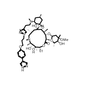 CC[C@H]1OC(=O)[C@H](C)[C@@H](O[C@H]2C[C@@](C)(OC)[C@@H](O)[C@H](C)O2)[C@H](C)[C@@H](O[C@@H]2C[C@H](C)C[C@H](N(C)CCc3cn(CCCOc4ccc(-c5cn[nH]c5)cc4)nn3)[C@H]2O)[C@](C)(O)C[C@@H](C)CN(C)[C@H](C)[C@@H](O)[C@]1(C)O